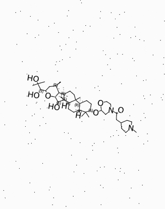 C[C@@H]1CC([C@H](O)C(C)(C)O)OC2C1[C@@]1(C)CCC34C[C@@]35CC[C@H](OC3CN(C(=O)CC6CCN(C)CC6)CCO3)C(C)(C)[C@@H]5CC[C@H]4[C@]1(C)[C@H]2O